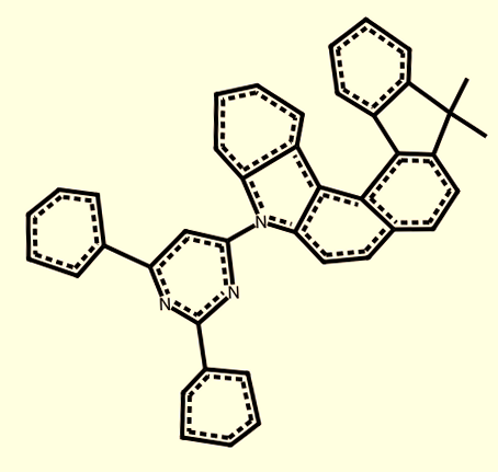 CC1(C)c2ccccc2-c2c1ccc1ccc3c(c4ccccc4n3-c3cc(-c4ccccc4)nc(-c4ccccc4)n3)c21